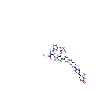 CN1CCN(C2CCCN(c3cnc(C(N)=O)c(Nc4ccc(C5CCN(CC6CCN(c7ccc(C8CCC(=O)NC8=O)cn7)CC6)CC5)cc4)n3)C2)C1=O